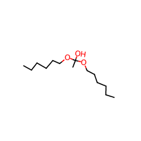 CCCCCCOC(C)(O)OCCCCCC